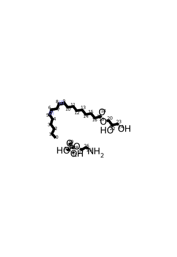 CCCCC/C=C\C/C=C\CCCCCCCC(=O)OCC(O)CO.NCCOP(=O)(O)O